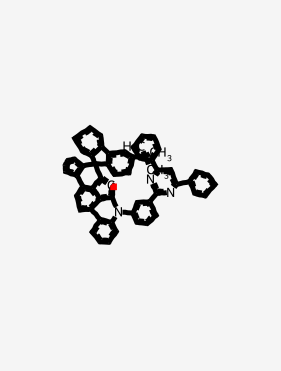 CC(C)(C)c1ccc2c(c1)-c1ccccc1C21c2ccccc2-c2ccc3c4c(ccc1c24)N(c1cccc(-c2nc(-c4ccccc4)cc(-c4ccccc4)n2)c1)c1ccccc1-3